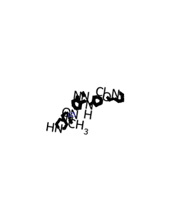 CN1/C(=N/c2ccc3ncnc(Nc4ccc(OCc5ccccn5)c(Cl)c4)c3c2)OCC12CCNCC2